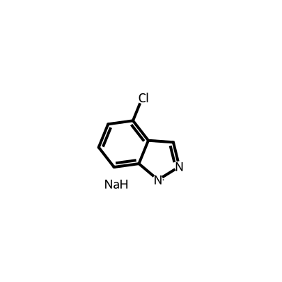 Clc1cccc2c1C=N[N]2.[NaH]